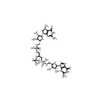 CN1CN([C@@H]2O[C@H](COP(=O)(O)OCC(COP(=O)(O)OC[C@H]3O[C@@H](n4cnc5c(=O)[nH]c(N)nc54)[C@H](O)[C@@H]3O)OP(=O)(O)O)[C@@H](O)[C@H]2O)c2nc(N)[nH]c(=O)c21